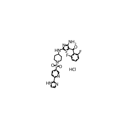 Cl.Nc1nc(NC2CCN(S(=O)(=O)c3ccc(-c4ncc[nH]4)nc3)CC2)sc1C(=O)c1c(F)cccc1F